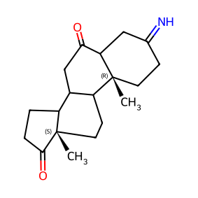 C[C@]12CCC(=N)CC1C(=O)CC1C2CC[C@]2(C)C(=O)CCC12